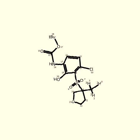 [2H]C([2H])([2H])C1(S(=O)(=O)c2c(Cl)ccc(NC(=O)OC(C)(C)C)c2O)CCOC1